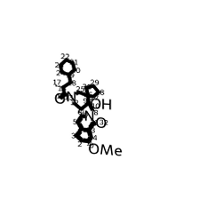 COc1ccc2ccn(CC3(O)CCN(C(=O)[C@H](C)CC4CCCCC4)CC34CCCC4)c(=O)c2c1